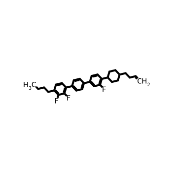 C=CCCC1CCC(c2ccc(-c3ccc(-c4ccc(CCCC)c(F)c4F)cc3)cc2F)CC1